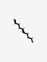 [CH]=CCC/C=C/CCCC